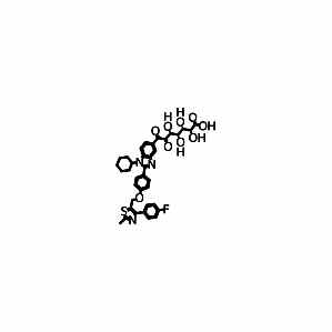 Cc1nc(-c2ccc(F)cc2)c(COc2ccc(-c3nc4cc(C(=O)C(=O)[C@H](O)[C@@H](O)[C@H](O)[C@H](O)C(=O)O)ccc4n3C3CCCCC3)cc2)s1